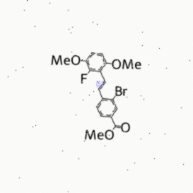 COC(=O)c1ccc(/C=C/c2c(OC)ccc(OC)c2F)c(Br)c1